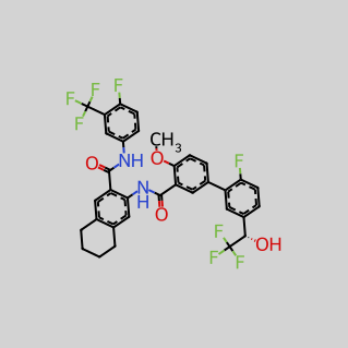 COc1ccc(-c2cc([C@H](O)C(F)(F)F)ccc2F)cc1C(=O)Nc1cc2c(cc1C(=O)Nc1ccc(F)c(C(F)(F)F)c1)CCCC2